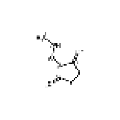 CPON1C(=O)CCC1=O